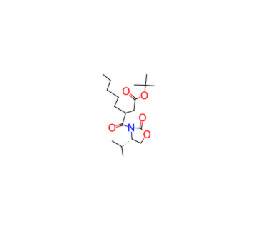 CCCCCC(CC(=O)OC(C)(C)C)C(=O)N1C(=O)OC[C@@H]1C(C)C